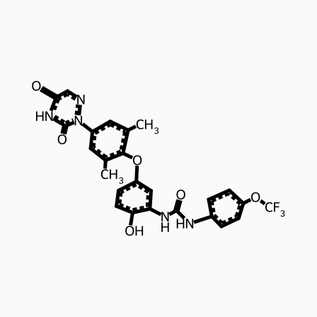 Cc1cc(-n2ncc(=O)[nH]c2=O)cc(C)c1Oc1ccc(O)c(NC(=O)Nc2ccc(OC(F)(F)F)cc2)c1